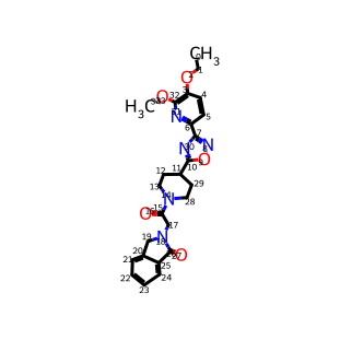 CCOc1ccc(-c2noc(C3CCN(C(=O)CN4Cc5ccccc5C4=O)CC3)n2)nc1OC